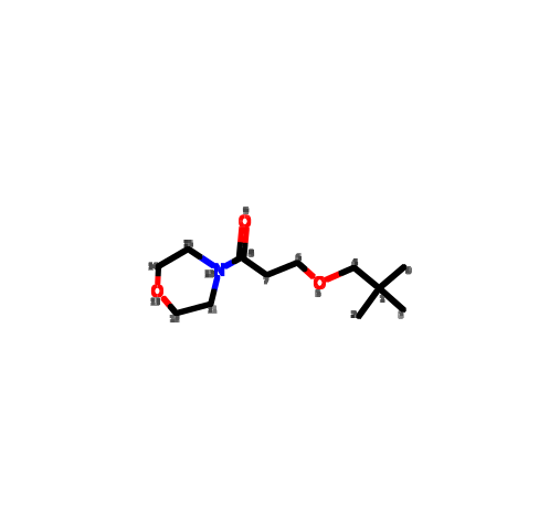 CC(C)(C)COCCC(=O)N1CCOCC1